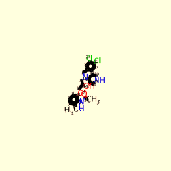 CC(=O)Nc1c(C)cccc1OCC(O)CN(Cc1ccc(Cl)c(Cl)c1)C1CCNCC1